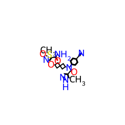 COc1nc(OC2CC3(C2)CC(N(C(=O)c2cn[nH]c2C)c2ccc(C#N)cc2)C3)c(C(N)=O)s1